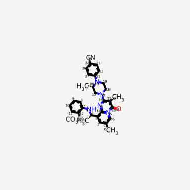 Cc1cc([C@@H](C)Nc2ccccc2C(=O)O)c2nc(N3CCN(c4ccc(C#N)cc4)[C@@H](C)C3)c(C)c(=O)n2c1